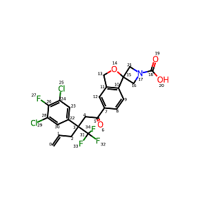 C=CCC(CC(=O)c1ccc2c(c1)COC21CN(C(=O)O)C1)(c1cc(Cl)c(F)c(Cl)c1)C(F)(F)F